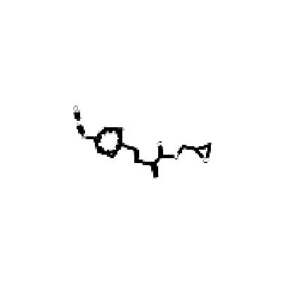 C=C(C=Cc1ccc(N=C=O)cc1)C(=O)OCC1CO1